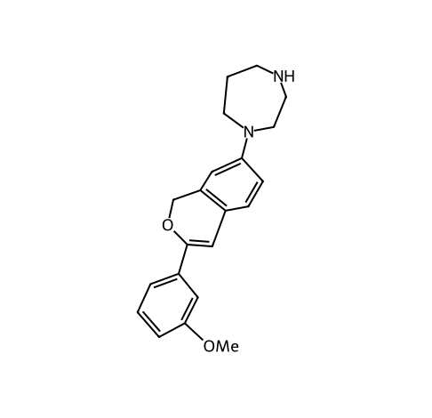 COc1cccc(C2=Cc3ccc(N4CCCNCC4)cc3CO2)c1